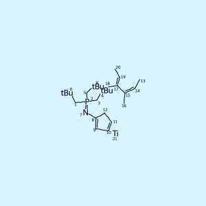 CC(C)(C)CP(CC(C)(C)C)(CC(C)(C)C)=NC1=CC=CC1.CC=C(C)C(C)=CC.[Ti]